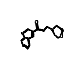 O=C(CCN1CCOCC1)c1cnc2ccccc2c1